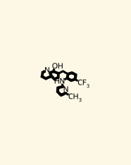 Cc1cccc(Nc2cc(C(F)(F)F)ccc2Cc2ccc3cccnc3c2O)n1